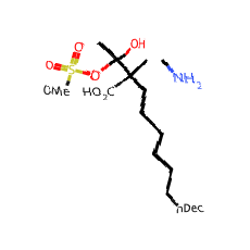 CCCCCCCCCCCCCCCCC(C)(C(=O)O)C(C)(O)OS(=O)(=O)OC.CN